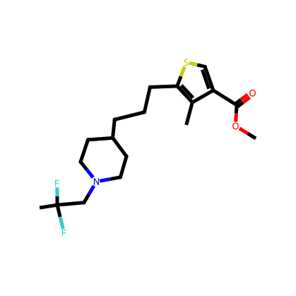 COC(=O)c1csc(CCCC2CCN(CC(C)(F)F)CC2)c1C